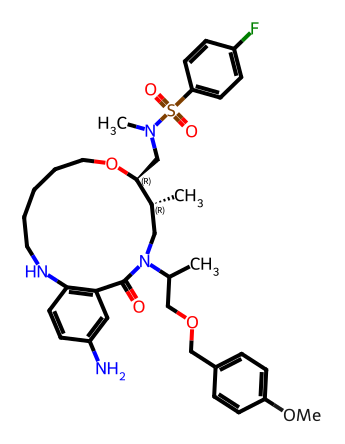 COc1ccc(COCC(C)N2C[C@@H](C)[C@H](CN(C)S(=O)(=O)c3ccc(F)cc3)OCCCCCNc3ccc(N)cc3C2=O)cc1